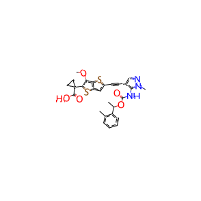 COc1c(C2(C(=O)O)CC2)sc2cc(C#Cc3cnn(C)c3NC(=O)OC(C)c3ccccc3C)sc12